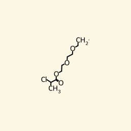 [CH2]COCCOCCOC(=O)C(C)Cl